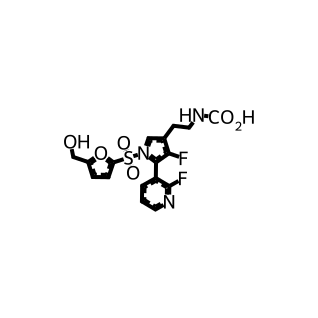 O=C(O)NCCc1cn(S(=O)(=O)c2ccc(CO)o2)c(-c2cccnc2F)c1F